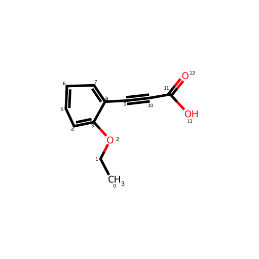 CCOc1ccccc1C#CC(=O)O